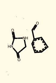 O=C1CNC(=O)N1.O=Cc1ccccc1